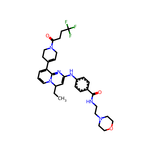 CCC1C=C(Nc2ccc(C(=O)NCCN3CCOCC3)cc2)N=C2C(C3=CCN(C(=O)CCC(F)(F)F)CC3)=CC=CN21